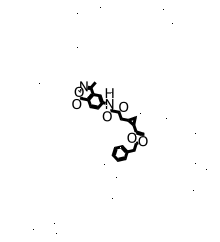 Cc1noc(=O)c2ccc(NC(=O)C(=O)CC3CC3C3=COC(Cc4ccccc4)O3)cc12